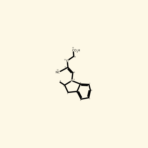 CC1Cc2ccccc2N1/C=C(\C#N)OCC(=O)O